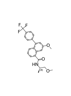 COC[C@@H](C)NC(=O)c1cccc2c(-c3ccc(C(F)(F)F)cc3)cc(OC)cc12